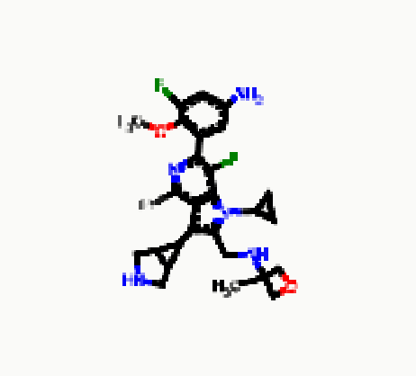 CC(C)c1nc(-c2cc(N)cc(F)c2OC(F)(F)F)c(F)c2c1c(C1C3CNCC31)c(CNC1(C)COC1)n2C1CC1